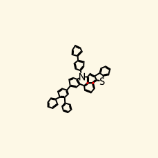 c1ccc(-c2ccc(N(c3ccc4sc5ccccc5c4c3)c3ccc(-c4ccc(-c5ccccc5)c(-c5ccccc5)c4)cc3-c3ccccc3)cc2)cc1